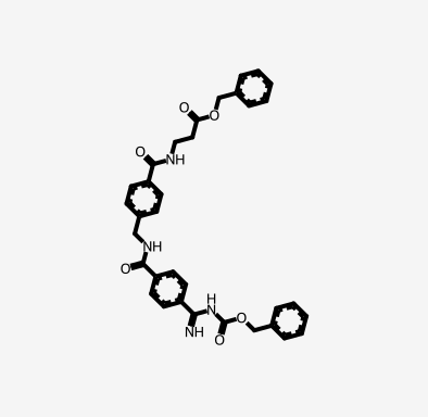 N=C(NC(=O)OCc1ccccc1)c1ccc(C(=O)NCc2ccc(C(=O)NCCC(=O)OCc3ccccc3)cc2)cc1